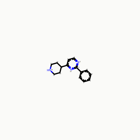 c1ccc(-c2nccc(C3CCNCC3)n2)cc1